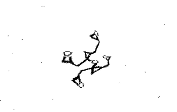 C1OC1CC1CC1(CC1CO1)OC1(CC2CO2)CC1CC1CO1